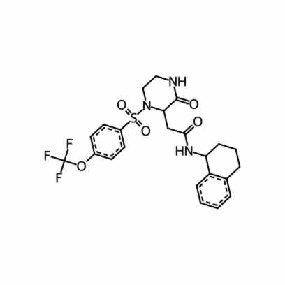 O=C(CC1C(=O)NCCN1S(=O)(=O)c1ccc(OC(F)(F)F)cc1)NC1CCCc2ccccc21